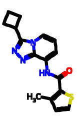 Cc1ccsc1C(=O)Nc1cccn2c(C3CCC3)nnc12